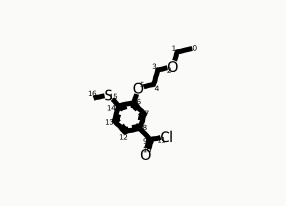 CCOCCOc1cc(C(=O)Cl)ccc1SC